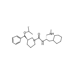 [CH2]C(C)OC(c1ccccc1)[C@@H]1CCCN(C(=O)N[C@H](CNC)CC2CCCCC2)C1